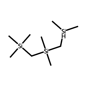 C[SiH](C)C[Si](C)(C)C[Si](C)(C)C